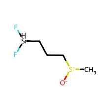 C[S+]([O-])CCC[SiH](F)F